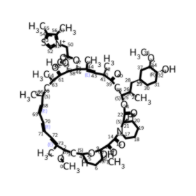 CO[C@H]1C[C@@H]2CC[C@@H](C)[C@@](O)(O2)C(=O)C(=O)N2CCCC[C@H]2C(=O)O[C@H]([C@H](C)C[C@@H]2CC[C@@H](O)[C@H](OC)C2)CC(=O)[C@H](C)/C=C(\C)[C@@H](OC(=O)C[n+]2csc(C)c2C)[C@@H](OC)C(=O)[C@H](C)C[C@H](C)/C=C/C=C/C=C/1C